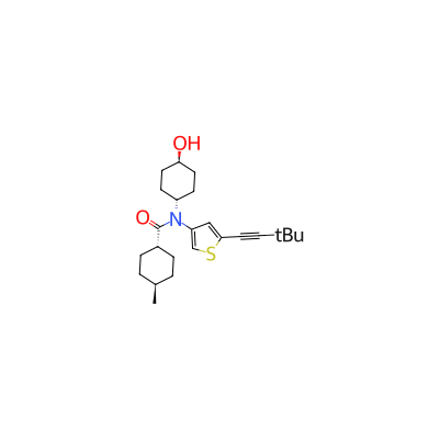 CC(C)(C)C#Cc1cc(N(C(=O)[C@H]2CC[C@H](C)CC2)[C@H]2CC[C@H](O)CC2)cs1